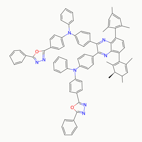 CC1=CC(C)[C@@H](C)C(C)=C1c1ccc(-c2c(C)cc(C)cc2C)c2nc(-c3ccc(N(c4ccccc4)c4ccc(-c5nnc(-c6ccccc6)o5)cc4)cc3)c(-c3ccc(N(c4ccccc4)c4ccc(-c5nnc(-c6ccccc6)o5)cc4)cc3)nc12